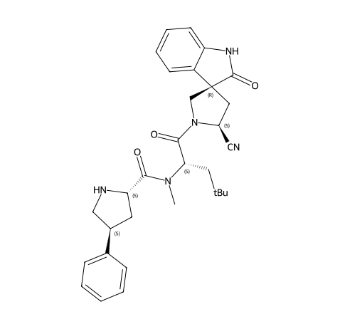 CN(C(=O)[C@@H]1C[C@@H](c2ccccc2)CN1)[C@@H](CC(C)(C)C)C(=O)N1C[C@]2(C[C@H]1C#N)C(=O)Nc1ccccc12